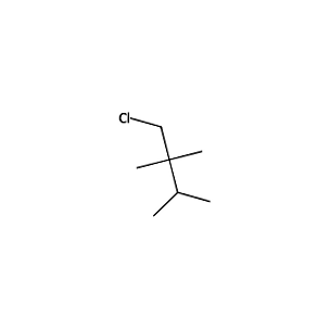 CC(C)C(C)(C)CCl